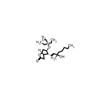 CCCCC[C@](C)(O)/C=C/[C@@H]1C2CC(=O)O[C@H]2C[C@H]1O[Si](CC)(CC)CC